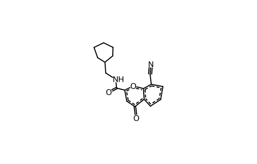 N#Cc1cccc2c(=O)cc(C(=O)NCC3CCCCC3)oc12